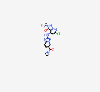 CNC(=O)c1nnc(Cl)cc1Nc1nc2ccc(C(=O)N3CCC3)cn2n1